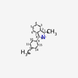 CC1=c2ccccc2=C(c2ccc(C)cc2)[N]1